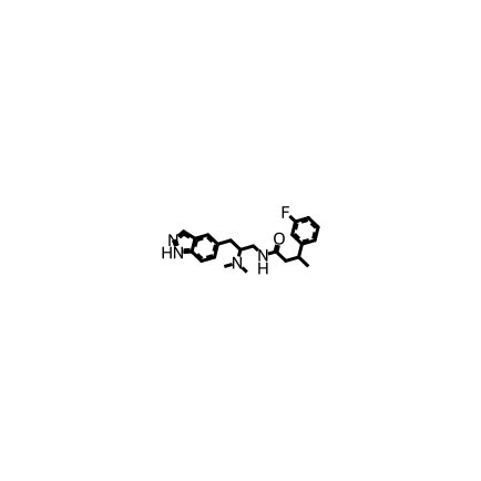 CC(CC(=O)NCC(Cc1ccc2[nH]ncc2c1)N(C)C)c1cccc(F)c1